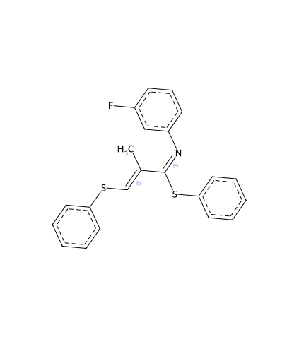 CC(=C\Sc1ccccc1)/C(=N\c1cccc(F)c1)Sc1ccccc1